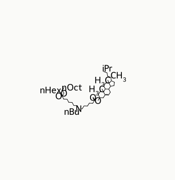 CCCCCCCCC(CCCCCC)OC(=O)CCCCCCN(CCCC)CCCCCC(=O)OC1CCC2(C)C(=CCC3C2CCC2(C)C(C(C)CCCC(C)C)CCC32)C1